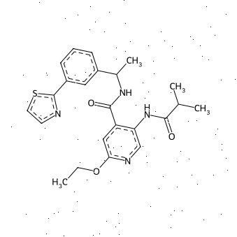 CCOc1cc(C(=O)NC(C)c2cccc(-c3nccs3)c2)c(NC(=O)C(C)C)cn1